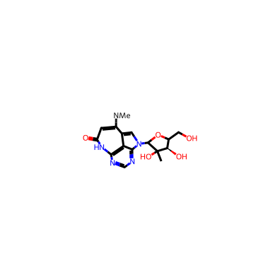 CNC1=CC(=O)Nc2ncnc3c2c1cn3C1OC(CO)[C@@H](O)C1(C)O